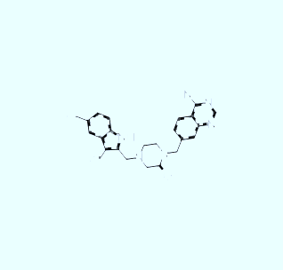 Nc1ncnc2cc(CN3CCN(Cc4[nH]c5ccc(Cl)cc5c4Cl)CC3=O)ccc12